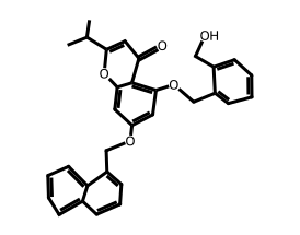 CC(C)c1cc(=O)c2c(OCc3ccccc3CO)cc(OCc3cccc4ccccc34)cc2o1